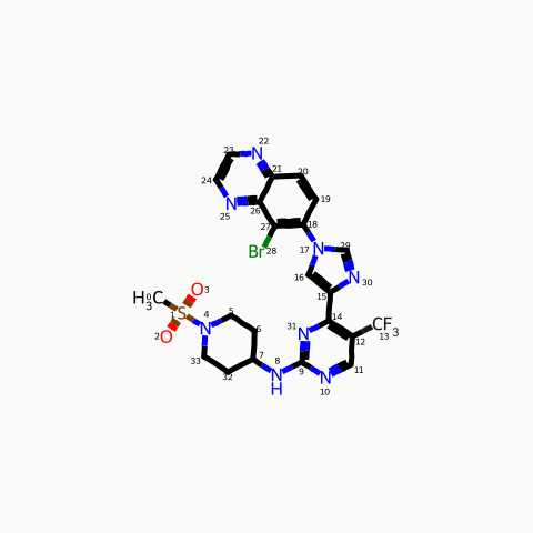 CS(=O)(=O)N1CCC(Nc2ncc(C(F)(F)F)c(-c3cn(-c4ccc5nccnc5c4Br)cn3)n2)CC1